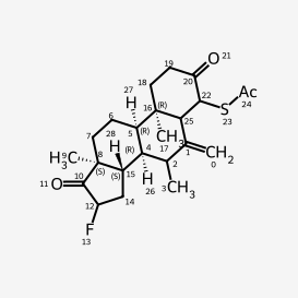 C=C1C(C)[C@@H]2[C@@H](CC[C@]3(C)C(=O)C(F)C[C@@H]23)[C@@]2(C)CCC(=O)C(SC(C)=O)C12